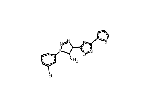 CCc1cccc(N2N=NC(c3nc(-c4cccs4)no3)C2N)c1